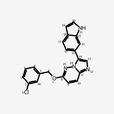 Clc1cccc(COc2ccc3ncc(-c4ccc5cc[nH]c5c4)n3n2)c1